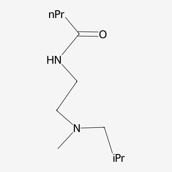 CCCC(=O)NCCN(C)CC(C)C